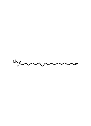 C=CCCCCCCCCCCCCCCCC[Si](C)(C)Cl